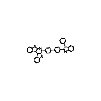 c1ccc(-n2c(-c3ccc(-c4ccc(-c5nc6sc7ccccc7c6c6c5sc5ccccc56)cc4)cc3)nc3ccccc32)cc1